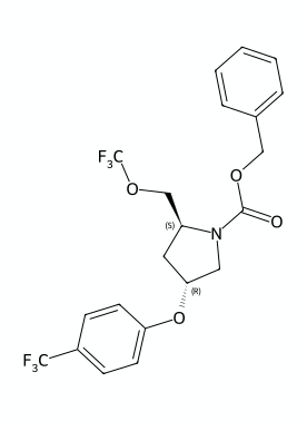 O=C(OCc1ccccc1)N1C[C@H](Oc2ccc(C(F)(F)F)cc2)C[C@H]1COC(F)(F)F